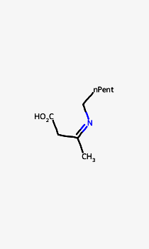 CCCCCC/N=C(/C)CC(=O)O